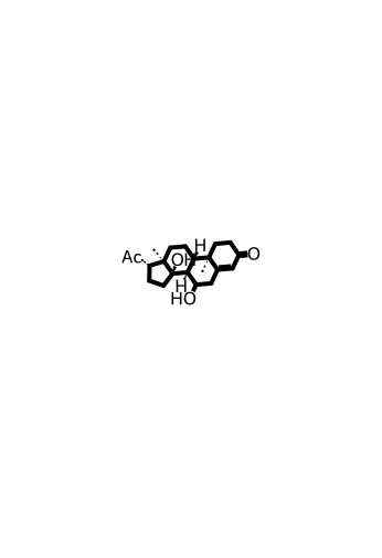 CC(=O)[C@H]1CC[C@@]2(O)[C@@H]3C(O)CC4=CC(=O)CC[C@]4(C)[C@H]3CC[C@]12C